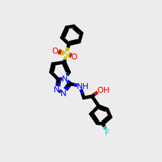 O=S(=O)(c1ccccc1)c1ccc2nnc(NCC(O)c3ccc(F)cc3)n2c1